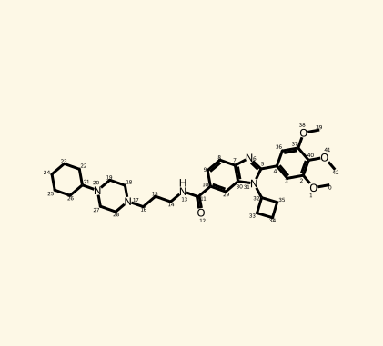 COc1cc(-c2nc3ccc(C(=O)NCCCN4CCN(C5CCCCC5)CC4)cc3n2C2CCC2)cc(OC)c1OC